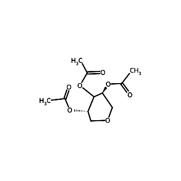 CC(=O)OC1[C@@H](OC(C)=O)COC[C@@H]1OC(C)=O